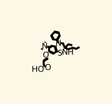 CCCCC1(CC)CN(c2ccccc2)c2cc(N(C)C)c(O/C=C/C(=O)O)cc2SN1